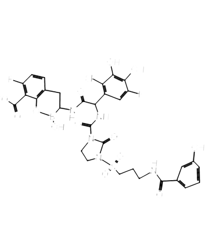 O=C(NCCCS(=O)(=O)N1CCN(C(=O)NC(C(=O)NC2Cc3ccc(F)c(C(=O)O)c3OB2O)c2cc(F)c(O)c(O)c2Cl)C1=O)c1cccc(O)c1